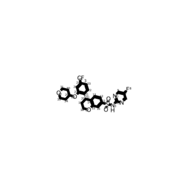 O=S(=O)(Nc1ncc(F)cn1)c1ccc2c(c1)OCC[C@@H]2c1ccc(C(F)(F)F)cc1OC1CCOCC1